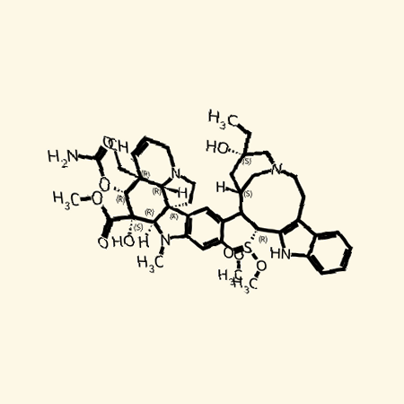 CC[C@]1(O)C[C@@H]2CN(CCc3c([nH]c4ccccc34)[C@H](S(=O)OC)C2c2cc3c(cc2OC)N(C)[C@H]2[C@@](O)(C(=O)OC)[C@H](OC(N)=O)[C@]4(CC)C=CCN5CC[C@]32[C@@H]54)C1